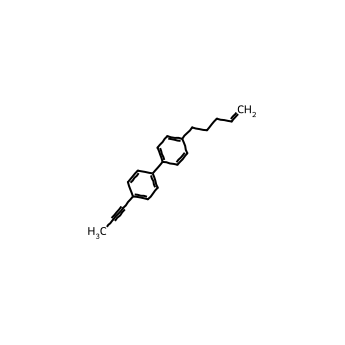 C=CCCCc1ccc(-c2ccc(C#CC)cc2)cc1